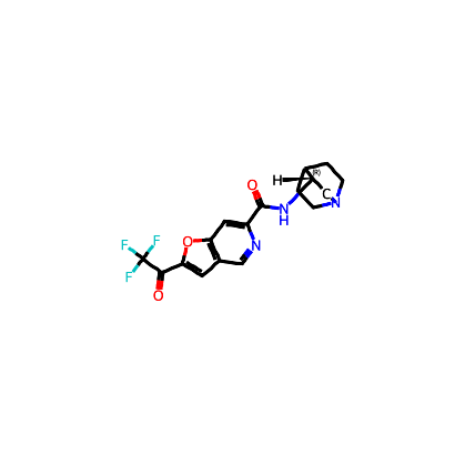 O=C(N[C@H]1CN2CCC1CC2)c1cc2oc(C(=O)C(F)(F)F)cc2cn1